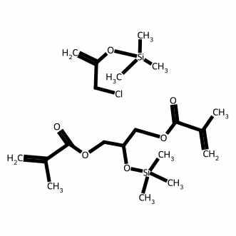 C=C(C)C(=O)OCC(COC(=O)C(=C)C)O[Si](C)(C)C.C=C(CCl)O[Si](C)(C)C